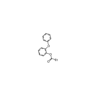 CCC(=O)Oc1ccccc1Oc1ccccc1